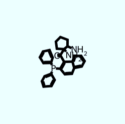 NC1CCCCC1(N)C(=O)c1c(P(c2ccccc2)c2ccccc2)ccc2ccccc12